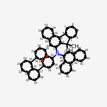 CC1(C)c2ccccc2-c2c1c(N(c1ccc(-c3cccc4cccc(-c5ccccc5)c34)cc1)c1cc3ccccc3c3ccccc13)cc1ccccc21